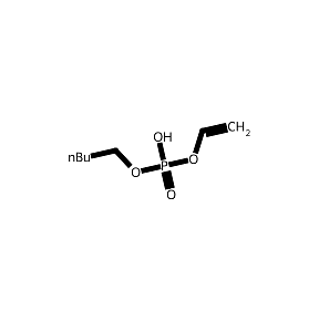 C=COP(=O)(O)OCCCCC